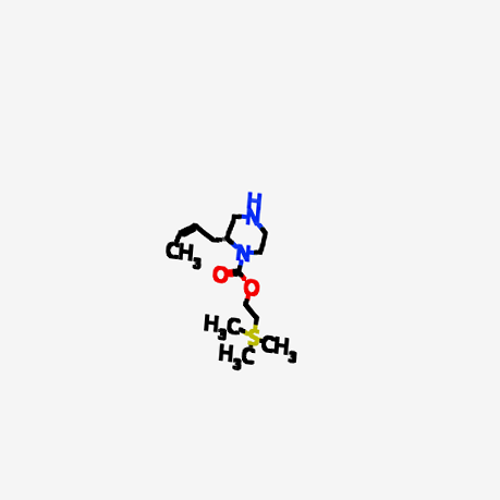 C/C=C\C[C@@H]1CNCCN1C(=O)OCCS(C)(C)C